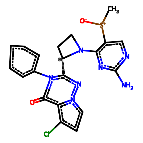 C[S+]([O-])c1cnc(N)nc1N1CC[C@H]1c1nn2ccc(Cl)c2c(=O)n1-c1ccccc1